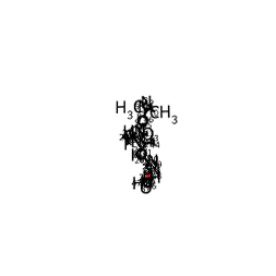 Cc1cnn(C)c1-c1ccc(NC(=O)[C@@H](NC(=O)C2(F)CC2)C(c2cccc(-c3cc(N4C[C@@H]5C[C@H]4CO5)ncn3)c2)C2CC2)cc1